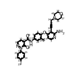 Nc1nccc(Oc2ccc(NC(=O)c3ccnn(-c4ccc(I)cc4)c3=O)cc2F)c1C#CCN1CCOCC1